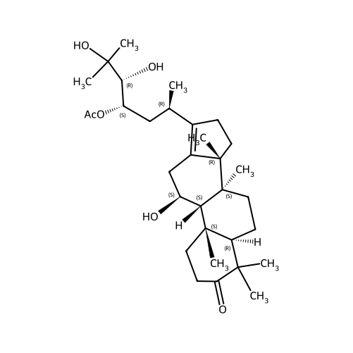 CC(=O)O[C@@H](C[C@@H](C)C1=C2C[C@H](O)[C@H]3[C@@]4(C)CCC(=O)C(C)(C)[C@@H]4CC[C@]3(C)[C@@]2(C)CC1)[C@@H](O)C(C)(C)O